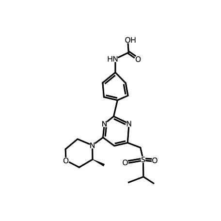 CC(C)S(=O)(=O)Cc1cc(N2CCOC[C@@H]2C)nc(-c2ccc(NC(=O)O)cc2)n1